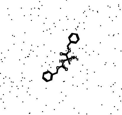 C[C@@](N)(NC(=O)OCc1ccccc1)C(=O)OCc1ccccc1